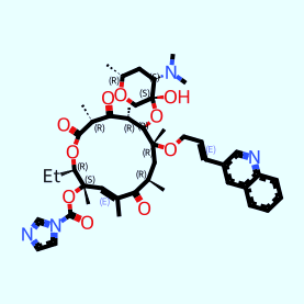 CC[C@H]1OC(=O)[C@H](C)C(=O)[C@H](C)[C@@H](O[C@]2(O)CO[C@H](C)C[C@@H]2N(C)C)[C@](C)(OC/C=C/c2cnc3ccccc3c2)C[C@@H](C)C(=O)/C(C)=C/[C@]1(C)OC(=O)n1ccnc1